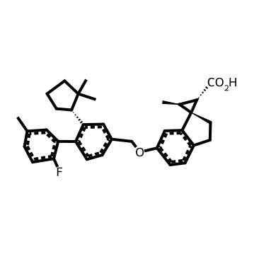 Cc1ccc(F)c(-c2ccc(COc3ccc4c(c3)[C@]3(CC4)[C@@H](C)[C@@H]3C(=O)O)cc2[C@@H]2CCCC2(C)C)c1